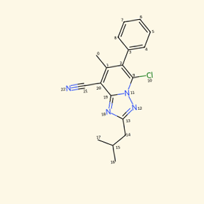 Cc1c(-c2ccccc2)c(Cl)n2nc(CC(C)C)nc2c1C#N